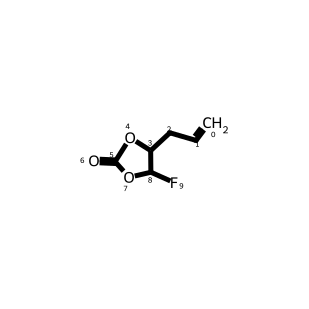 C=CCC1OC(=O)OC1F